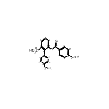 CCCCCc1ccc(C(=O)Oc2cccc(C(=O)O)c2-c2ccc(CCCCC)cc2)cc1